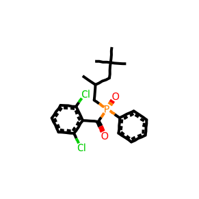 CC(CC(C)(C)C)CP(=O)(C(=O)c1c(Cl)cccc1Cl)c1ccccc1